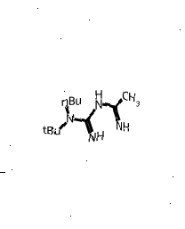 CCCCN(C(=N)NC(C)=N)C(C)(C)C